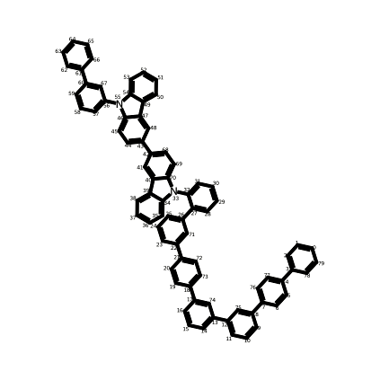 c1ccc(-c2ccc(-c3cccc(-c4cccc(-c5ccc(-c6cccc(-c7ccccc7-n7c8ccccc8c8cc(-c9ccc%10c(c9)c9ccccc9n%10-c9cccc(-c%10ccccc%10)c9)ccc87)c6)cc5)c4)c3)cc2)cc1